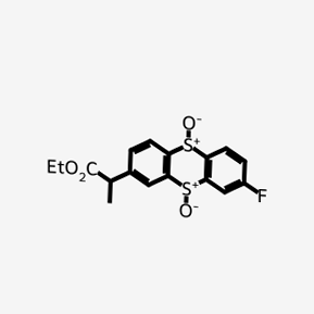 CCOC(=O)C(C)c1ccc2c(c1)[S+]([O-])c1cc(F)ccc1[S+]2[O-]